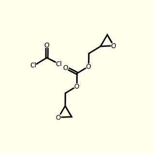 O=C(Cl)Cl.O=C(OCC1CO1)OCC1CO1